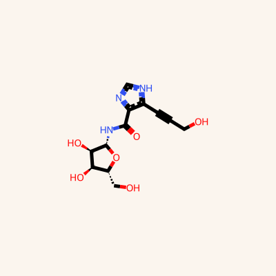 O=C(N[C@@H]1O[C@H](CO)[C@@H](O)[C@H]1O)c1nc[nH]c1C#CCO